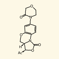 CC(=O)[C@@H]1OC(=O)N2c3ccc(N4CCOCC4=O)cc3OC[C@@H]12